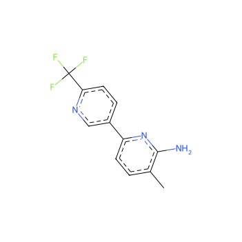 Cc1ccc(-c2ccc(C(F)(F)F)nc2)nc1N